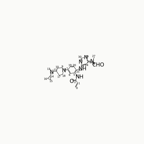 C=CC(=O)Nc1cc(N2CCC(N(C)C3CC3)CC2)ccc1Nc1cc(N(C)C=O)ncn1